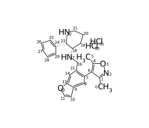 Cc1noc(C)c1-c1cc2ccoc2cc1CN[C@H]1CCCN[C@H]1c1ccccc1.Cl.Cl